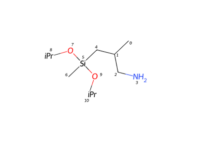 CC(CN)C[Si](C)(OC(C)C)OC(C)C